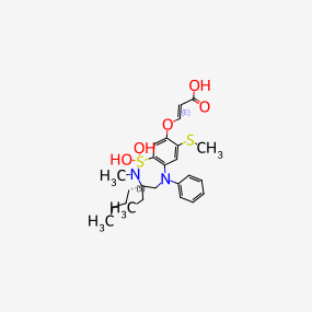 CCCC[C@@]1(CC)CN(c2ccccc2)c2cc(SC)c(O/C=C/C(=O)O)cc2S(O)(O)N1C